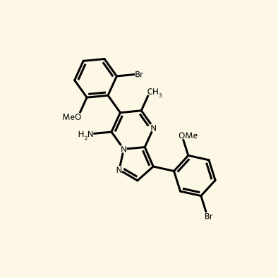 COc1ccc(Br)cc1-c1cnn2c(N)c(-c3c(Br)cccc3OC)c(C)nc12